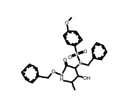 COc1ccc(S(=O)(=O)N(Cc2ccccc2)C(C(=O)NOCc2ccccc2)C(O)C(C)C)cc1